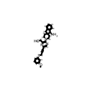 COc1cccc(SCC#Cc2cnc(N3CCC4(CC3)Cc3ccccc3[C@H]4N)c(CO)n2)c1